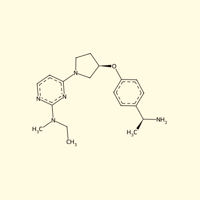 CCN(C)c1nccc(N2CC[C@@H](Oc3ccc([C@H](C)N)cc3)C2)n1